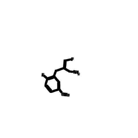 COc1ccc(F)c(CC(=CF)CN)c1